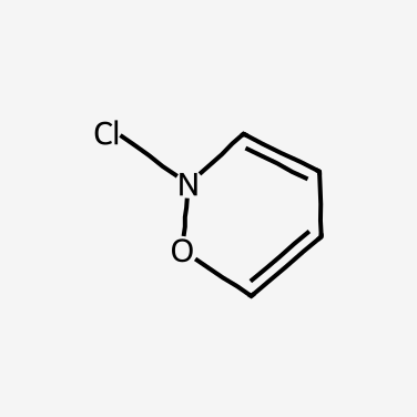 ClN1C=CC=CO1